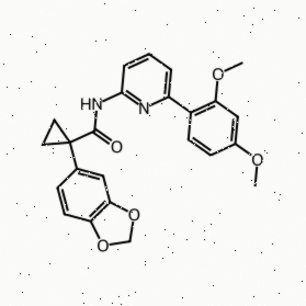 COc1ccc(-c2cccc(NC(=O)C3(c4ccc5c(c4)OCO5)CC3)n2)c(OC)c1